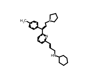 Cc1ccc(/C(=C\CN2CCCC2)c2cccc(/C=C/CNC3CCCCC3)n2)cc1